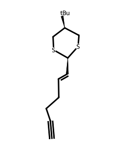 C#CCCC=C[C@H]1SC[C@@H](C(C)(C)C)CS1